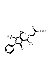 COC(=O)CSC(C#N)c1c(C)n(C)n(-c2ccccc2)c1=O